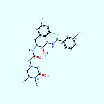 C[C@H]1CN(CC(=O)N[C@@H](Cc2cc(F)cc(F)c2)[C@H](O)CNCc2cccc(I)c2)CC(=O)N1C